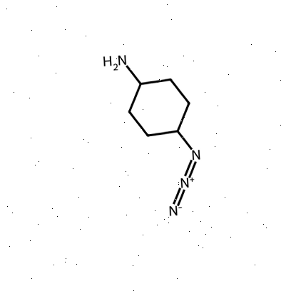 [N-]=[N+]=NC1CCC(N)CC1